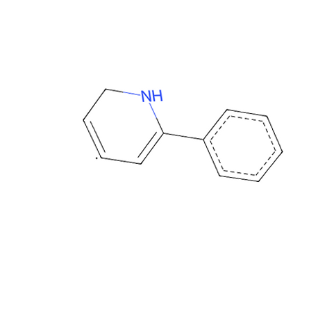 [C]1=CCNC(c2ccccc2)=C1